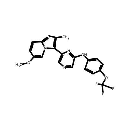 COc1ccc2nc(C)c(-c3cncc(Nc4ccc(OC(F)(F)F)cc4)n3)n2c1